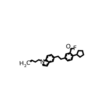 C=CCCn1ccc2cc(CCc3ccc(C4CCCC4)c(C(=O)F)c3)ccc21